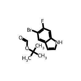 CC(C)(C)OC=O.Fc1cc2[nH]ccc2cc1Br